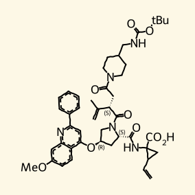 C=CC1CC1(NC(=O)[C@@H]1C[C@@H](Oc2cc(-c3ccccc3)nc3cc(OC)ccc23)CN1C(=O)[C@@H](CC(=O)N1CCC(CNC(=O)OC(C)(C)C)CC1)C(=C)C)C(=O)O